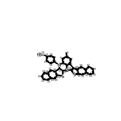 Cc1cc2c3c(c1)N(c1ccc(C(C)(C)C)cc1)C1c4cc5ccccc5cc4SC1B3c1sc3cc4ccccc4cc3c1-2